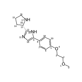 COCCOc1ccc(-c2cnc([C@@H]3CCCN3)[nH]2)cc1